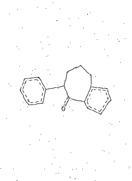 O=C1c2ccccc2CCCC1c1ccccc1